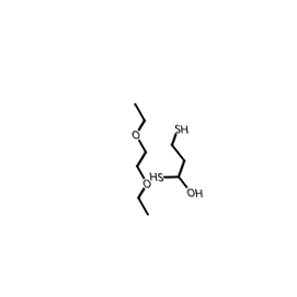 CCOCCOCC.OC(S)CCS